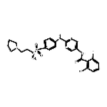 CN(CCN1CCCC1)S(=O)(=O)c1ccc(Nc2ncc(NC(=O)c3c(Cl)cccc3Cl)cn2)cc1